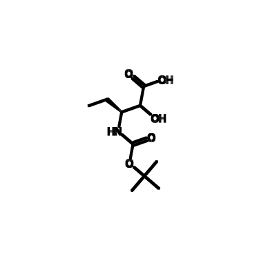 CC[C@H](NC(=O)OC(C)(C)C)C(O)C(=O)O